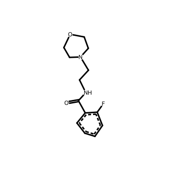 O=C(NCCN1CCOCC1)c1ccccc1F